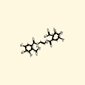 O=C(NC=CNC(=O)c1cc(Br)c(Br)c(Br)c1C(=O)Br)c1cc(Br)c(Br)c(Br)c1C(=O)Br